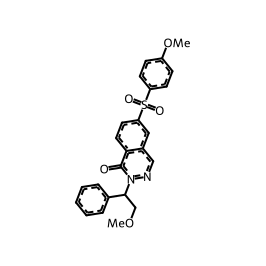 COCC(c1ccccc1)n1ncc2cc(S(=O)(=O)c3ccc(OC)cc3)ccc2c1=O